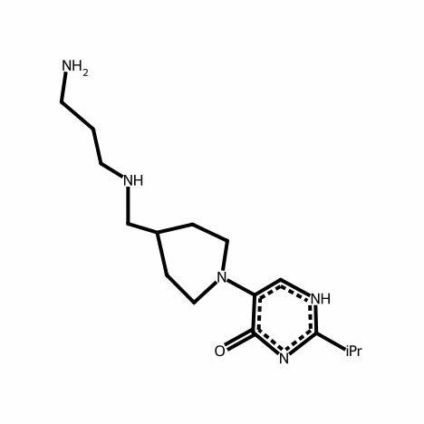 CC(C)c1nc(=O)c(N2CCC(CNCCCN)CC2)c[nH]1